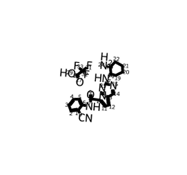 N#Cc1ccccc1NC(=O)c1ccc2cnc(N[C@@H]3CCCC[C@@H]3N)nn12.O=C(O)C(F)(F)F